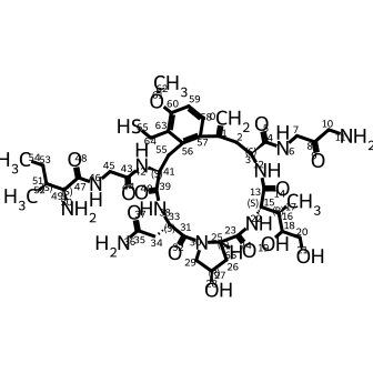 C=C1C[C@@H](C(=O)NCC(=O)CN)NC(=O)[C@H]([C@@H](C)C(O)CO)NC(=O)[C@@H]2C[C@@H](O)CN2C(=O)[C@H](CC(N)=O)NC(=O)[C@@H](NC(=O)CNC(=O)[C@@H](N)[C@@H](C)CC)Cc2c1ccc(OC)c2CS